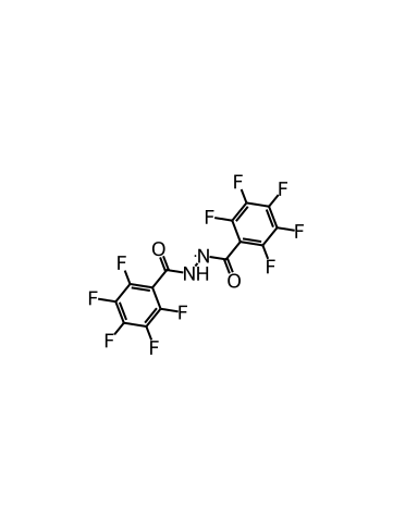 O=C([N]NC(=O)c1c(F)c(F)c(F)c(F)c1F)c1c(F)c(F)c(F)c(F)c1F